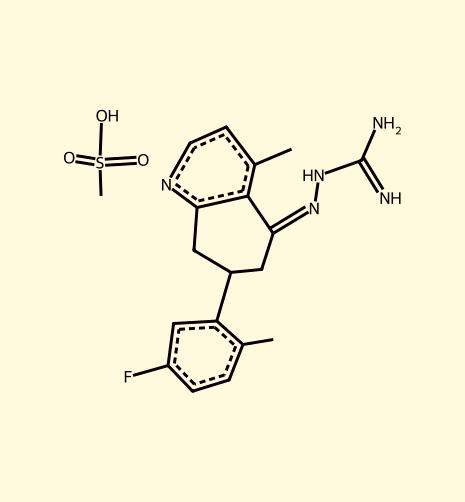 CS(=O)(=O)O.Cc1ccc(F)cc1C1C/C(=N/NC(=N)N)c2c(C)ccnc2C1